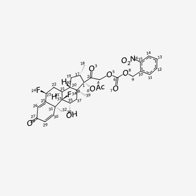 CC(=O)O[C@@]1(C(=O)COC(=O)OCc2ccccc2[N+](=O)[O-])[C@@H](C)C[C@H]2[C@@H]3C[C@H](F)C4=CC(=O)C=C[C@]4(C)[C@@]3(F)[C@@H](O)C[C@@]21C